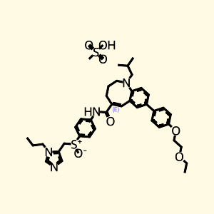 CCCn1cncc1C[S+]([O-])c1ccc(NC(=O)/C2=C/c3cc(-c4ccc(OCCOCC)cc4)ccc3N(CC(C)C)CCC2)cc1.CS(=O)(=O)O